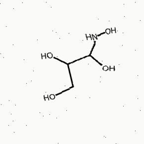 OCC(O)C(O)NO